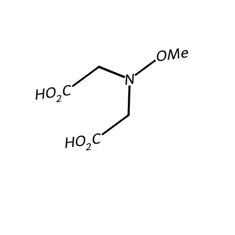 CON(CC(=O)O)CC(=O)O